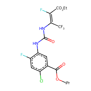 CCOC(=O)/C(F)=C(/NC(=O)Nc1cc(C(=O)OC(C)C)c(Cl)cc1F)C(F)(F)F